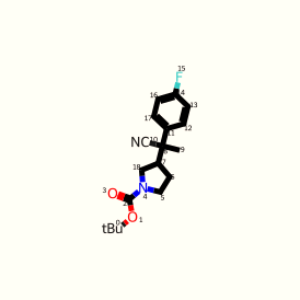 CC(C)(C)OC(=O)N1CCC(C(C)(C#N)c2ccc(F)cc2)C1